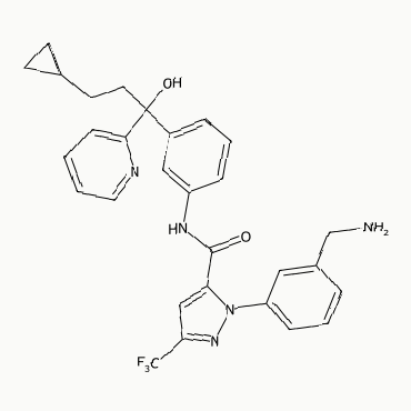 NCc1cccc(-n2nc(C(F)(F)F)cc2C(=O)Nc2cccc(C(O)(CCC3CC3)c3ccccn3)c2)c1